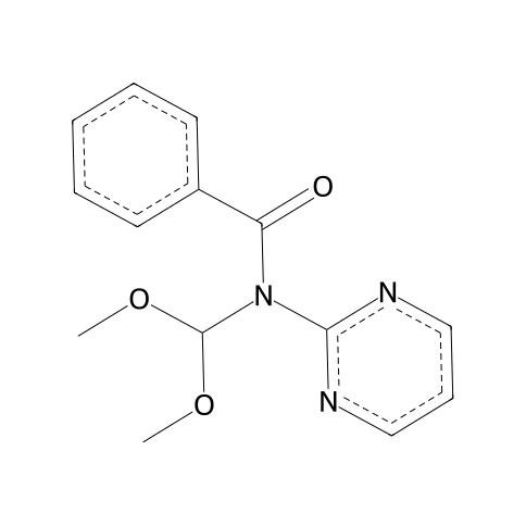 COC(OC)N(C(=O)c1ccccc1)c1ncccn1